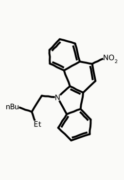 CCCCC(CC)Cn1c2ccccc2c2cc([N+](=O)[O-])c3ccccc3c21